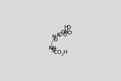 Cc1nc(N(C)CCCCCC(=O)N(C)CCN2CCC(OC(=O)Nc3ccccc3-c3ccccc3)CC2)sc1C(=O)O